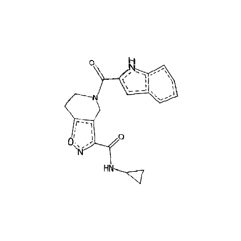 O=C(NC1CC1)c1noc2c1CN(C(=O)c1cc3ccccc3[nH]1)CC2